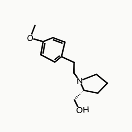 COc1ccc(CCN2CCC[C@@H]2CO)cc1